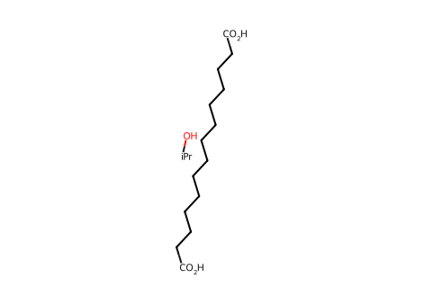 CC(C)O.O=C(O)CCCCCCCCCCCCC(=O)O